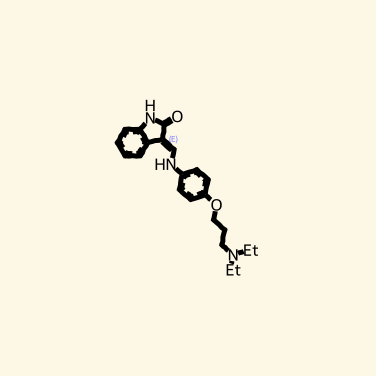 CCN(CC)CCCOc1ccc(N/C=C2/C(=O)Nc3ccccc32)cc1